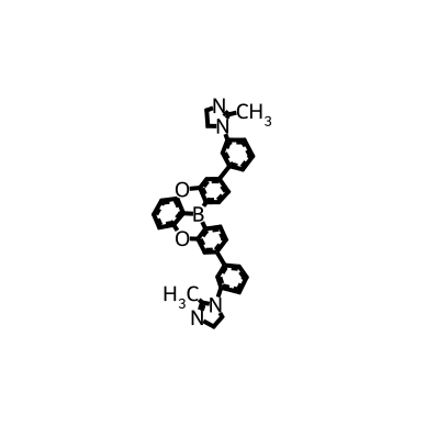 CC1=NCCN1c1cccc(-c2ccc3c(c2)Oc2cccc4c2B3c2ccc(-c3cccc(N5CCN=C5C)c3)cc2O4)c1